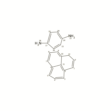 C1=Cc2cccc3cccc(c23)C1.Nc1ccc(N)cc1